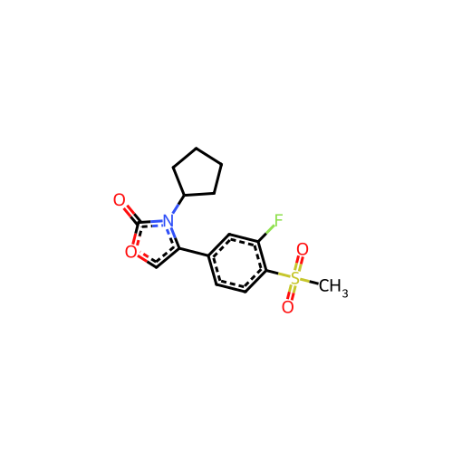 CS(=O)(=O)c1ccc(-c2coc(=O)n2C2CCCC2)cc1F